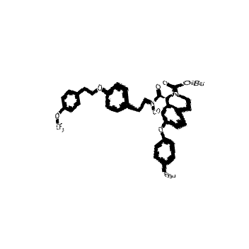 CC(C)COC(=O)N1CCc2ccc(Oc3ccc(C(C)(C)C)cc3)cc2[C@H]1C(=O)N(CCc1ccc(OCCc2ccc(OC(F)(F)F)cc2)cc1)C(=O)O